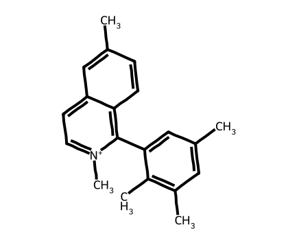 Cc1cc(C)c(C)c(-c2c3ccc(C)cc3cc[n+]2C)c1